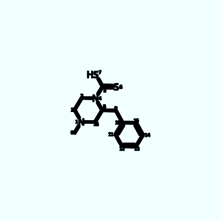 CN1CCN(C(=S)S)C(Cc2ccccc2)C1